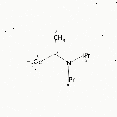 CC(C)N(C(C)C)[CH](C)[GeH3]